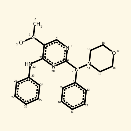 C[S+]([O-])c1cnc(N(c2ccccc2)N2CCOCC2)nc1Nc1c[c]ccc1